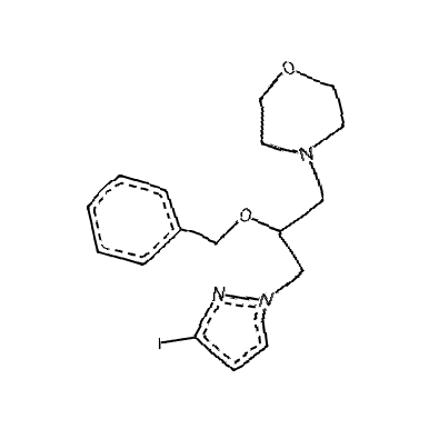 Ic1ccn(CC(CN2CCOCC2)OCc2ccccc2)n1